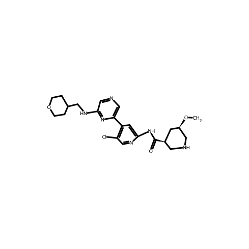 CO[C@H]1CNC[C@@H](C(=O)Nc2cc(-c3cncc(NCC4CCOCC4)n3)c(Cl)cn2)C1